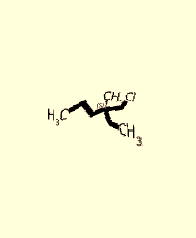 CCC[C@](C)(CC)CCl